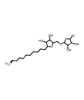 C=CCCCCCCCCCC1OC(COC2OC(CC)C(O)C2O)C(O)C1O